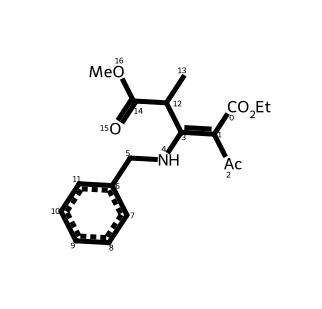 CCOC(=O)C(C(C)=O)=C(NCc1ccccc1)C(C)C(=O)OC